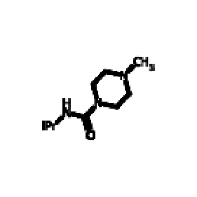 CC(C)NC(=O)N1CCN(C)CC1